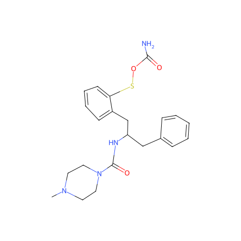 CN1CCN(C(=O)NC(Cc2ccccc2)Cc2ccccc2SOC(N)=O)CC1